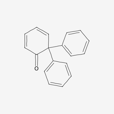 O=C1C=CC=CC1(c1ccccc1)c1ccccc1